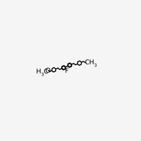 CCCC1CCC(CCc2ccc(-c3ccc(CCC4CCC(COC)CC4)cc3F)cc2)CC1